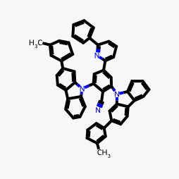 Cc1cccc(-c2ccc3c4ccccc4n(-c4cc(-c5cccc(-c6ccccc6)n5)cc(-n5c6ccccc6c6ccc(-c7cccc(C)c7)cc65)c4C#N)c3c2)c1